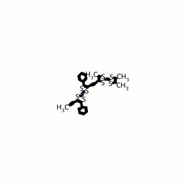 CC#CC1=C(c2ccccc2)S/C(=C2\SC(C#CC3=C(C)SC(=C4SC(C)=C(C)S4)S3)=C(c3ccccc3)S2)S1